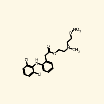 CN(CCOC(=O)Cc1ccccc1Nc1c(Cl)cccc1Cl)CCO[N+](=O)[O-]